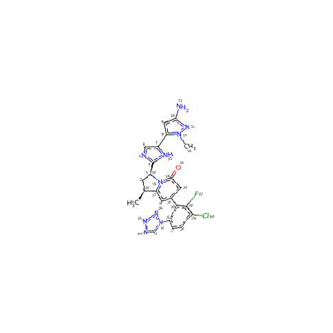 C[C@H]1C[C@@H](c2ncc(-c3cc(N)nn3C)[nH]2)n2c1cc(-c1c(-n3cnnn3)ccc(Cl)c1F)cc2=O